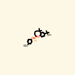 CCCC(C)(C)c1ccc2c(c1)C(C)(C)CCCC(POc1ccc(C(C)(C)C)cc1)O2